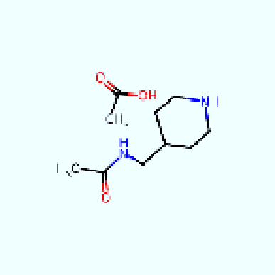 CC(=O)NCC1CCNCC1.CC(=O)O